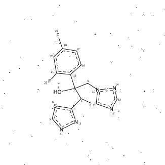 CC(c1nncs1)C(O)(Cn1cncn1)c1ccc(F)cc1F